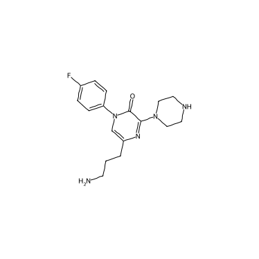 NCCCc1cn(-c2ccc(F)cc2)c(=O)c(N2CCNCC2)n1